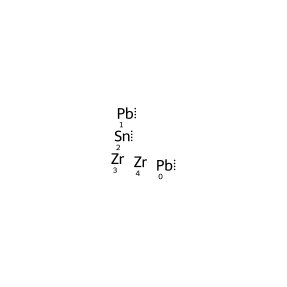 [Pb].[Pb].[Sn].[Zr].[Zr]